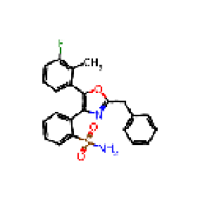 Cc1c(F)cccc1-c1oc(Cc2ccccc2)nc1-c1ccccc1S(N)(=O)=O